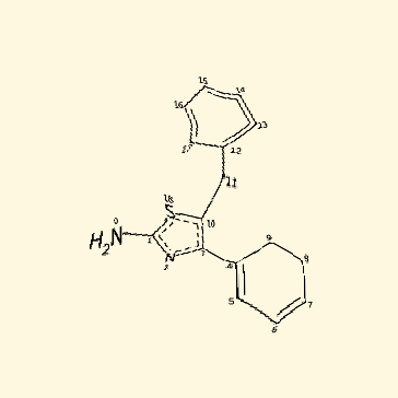 Nc1nc(C2=CC=CCC2)c(CC2=C=C=CC=C2)s1